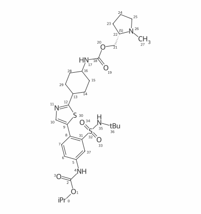 CC(C)OC(=O)Nc1ccc(-c2cnc(C3CCC(NC(=O)OC[C@@H]4CCCN4C)CC3)s2)c(S(=O)(=O)NC(C)(C)C)c1